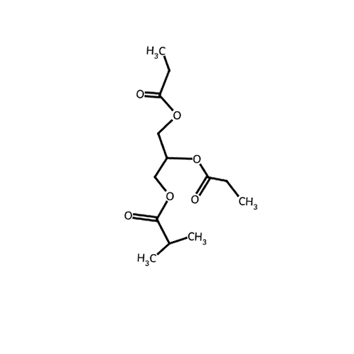 CCC(=O)OCC(COC(=O)C(C)C)OC(=O)CC